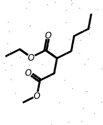 CCCCC(CC(=O)OC)C(=O)OCC